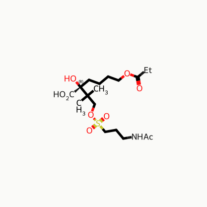 CCC(=O)OCCCC[C@](O)(C(=O)O)C(C)(C)COS(=O)(=O)CCCNC(C)=O